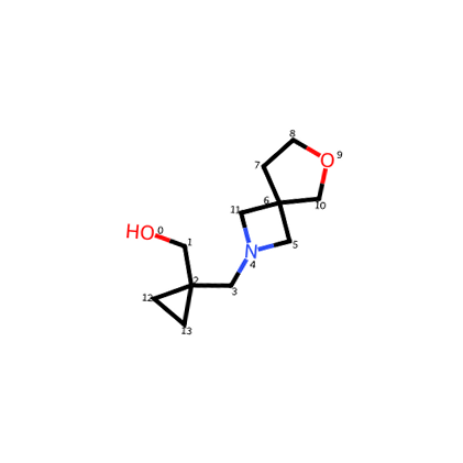 OCC1(CN2CC3(CCOC3)C2)CC1